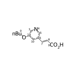 CCCCOc1cncc(/C=C/C(=O)O)c1